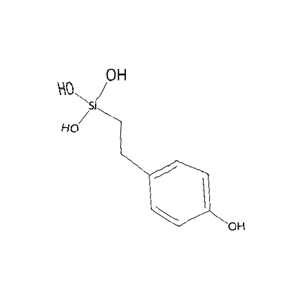 Oc1ccc(CC[Si](O)(O)O)cc1